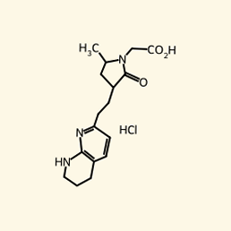 CC1CC(CCc2ccc3c(n2)NCCC3)C(=O)N1CC(=O)O.Cl